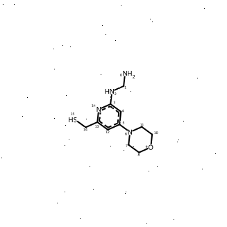 NCNc1cc(N2CCOCC2)cc(CS)n1